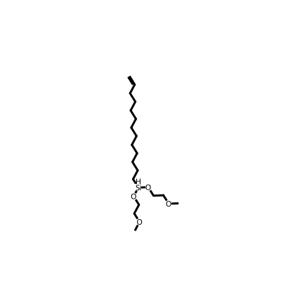 C=CCCCCCCCCCCC[SiH](OCCOC)OCCOC